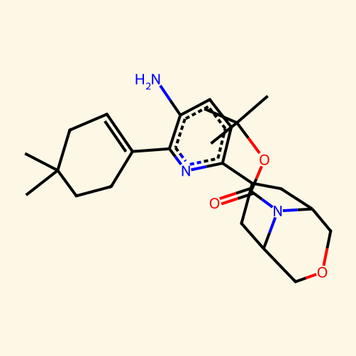 CC1(C)CC=C(c2nc(C3CC4COCC(C3)N4C(=O)OC(C)(C)C)ccc2N)CC1